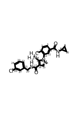 Cc1ccc(C(=O)NC2CC2)cc1-n1ncc(C(=O)NCc2cccc(Cl)c2)c1N